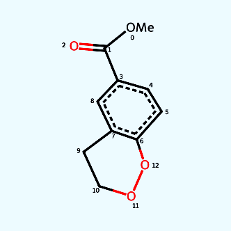 COC(=O)c1ccc2c(c1)CCOO2